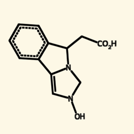 O=C(O)CC1c2ccccc2C2=CN(O)CN21